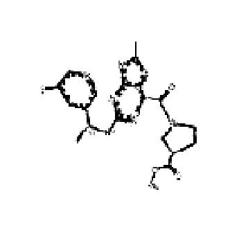 Cc1nc2nc(N[C@@H](C)c3cncc(F)c3)nc(C(=O)N3CCC(C(=O)OC(C)(C)C)C3)c2s1